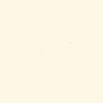 C=C.C[CH2][Hf]([CH2]C)([CH]1C=Cc2ccccc21)[CH]1C=Cc2ccccc21